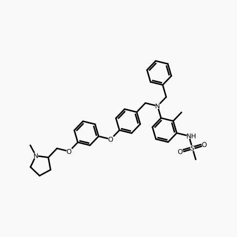 Cc1c(NS(C)(=O)=O)cccc1N(Cc1ccccc1)Cc1ccc(Oc2cccc(OCC3CCCN3C)c2)cc1